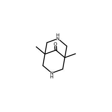 CC12CNCC(C)(CNC1)C2=O